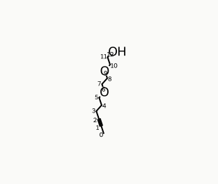 CC#CCCCOCCOCCO